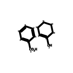 O=C(O)c1ccccc1.OC1=CCCCC1